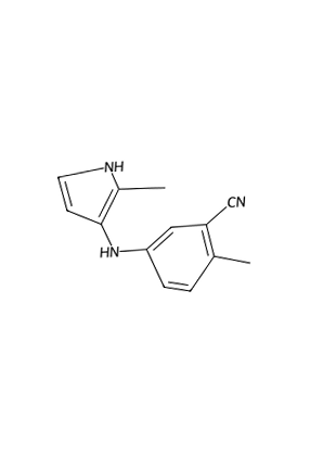 Cc1ccc(Nc2cc[nH]c2C)cc1C#N